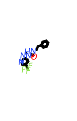 O=C(NCCc1ccccc1)n1cnc2ncc(C(F)(F)F)cc21